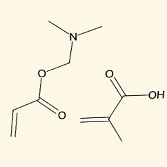 C=C(C)C(=O)O.C=CC(=O)OCN(C)C